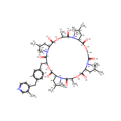 Cc1cnccc1Cc1ccc(CC2OC(=O)C(CC(C)C)N(C)C(=O)C(C)OC(=O)C(CC(C)C)N(C)C(=O)COC(=O)C(CC(C)C)N(C)C(=O)C(C)OC(=O)C(CC(C)C)N(C)C2=O)cc1